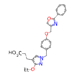 CCOc1nn(Cc2ccc(OCc3coc(-c4ccccc4)n3)cc2)cc1CCC(=O)O